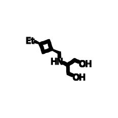 CC[C@H]1C[C@@H](CNC(CO)CO)C1